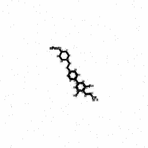 CCCCCC1CCC(CCc2ccc(-c3cc(F)c(/C=C/C(F)(F)F)c(F)c3)cc2)CC1